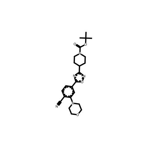 CC(C)(C)OC(=O)N1CCC(c2noc(-c3ccc(C#N)c(N4CCOCC4)c3)n2)CC1